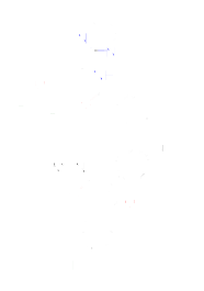 CCCc1cc2oc(-c3ccc(F)cc3)c(C(=O)NC)c2cc1-c1cccc(C(=O)NC2(c3ncccn3)CC(OC(F)F)C2)c1